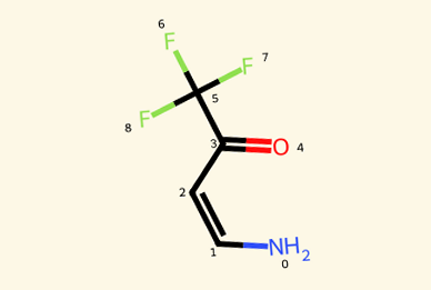 N/C=C\C(=O)C(F)(F)F